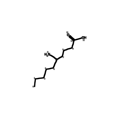 CCCCCC(N)CCCC(=O)O